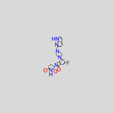 O=C1CCC(N2Cc3c(cc(F)cc3N3CCN(Cc4ccc5cc[nH]c5n4)CC3)C2=O)C(=O)N1